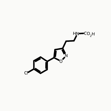 O=C(O)NCCc1cc(-c2ccc(Cl)cc2)on1